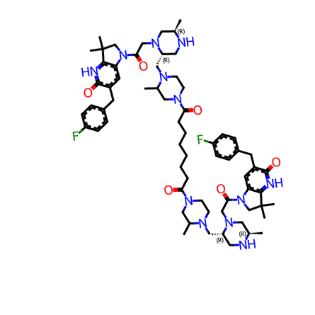 CC1CN(C(=O)CCCCCCC(=O)N2CCN(C[C@H]3CN[C@H](C)CN3CC(=O)N3CC(C)(C)c4[nH]c(=O)c(Cc5ccc(F)cc5)cc43)C(C)C2)CCN1C[C@H]1CN[C@H](C)CN1CC(=O)N1CC(C)(C)c2[nH]c(=O)c(Cc3ccc(F)cc3)cc21